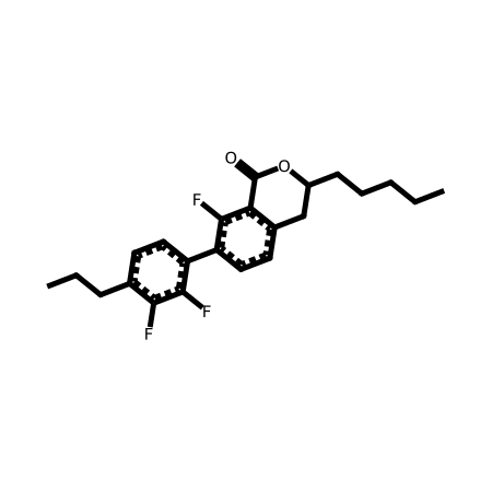 CCCCCC1Cc2ccc(-c3ccc(CCC)c(F)c3F)c(F)c2C(=O)O1